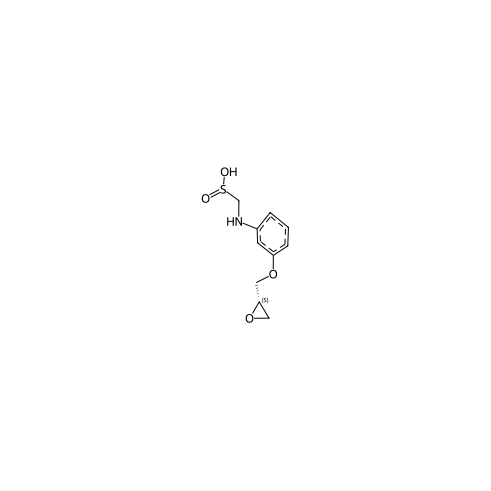 O=S(O)CNc1cccc(OC[C@@H]2CO2)c1